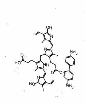 C=CC1=C(C)C(O)=NC1=Cc1[nH]c(CC2N=C(C=C3N=C(O)C(C=C)=C3C)C(C)=C2CCC(=O)O)c(CCC(=O)O)c1C.Nc1ccc(-c2ccc(N)cc2)cc1